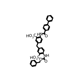 O=C(Nc1ccc(Cc2ccc(NC(=O)c3ccc(-c4ccccc4)cc3)c(C(=O)O)c2)cc1C(=O)O)OCc1ccccc1